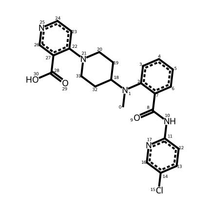 CN(c1ccccc1C(=O)Nc1ccc(Cl)cn1)C1CCN(c2ccncc2C(=O)O)CC1